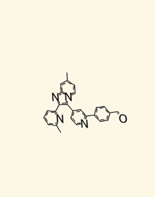 Cc1ccn2c(-c3ccnc(-c4ccc(C=O)cc4)c3)c(-c3cccc(C)n3)nc2c1